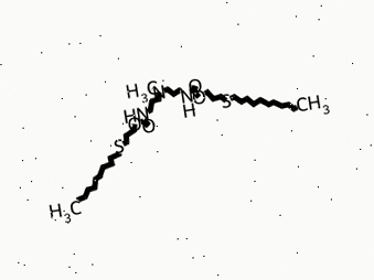 CCCCCCCCCCCSCCCOC(=O)NCCCN(C)CCCNC(=O)OCCCSCCCCCCCCCCC